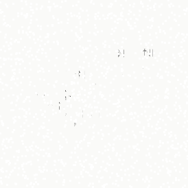 Cl.O=C1c2ccccc2C(=O)N1N1CCN(CCCN2CCNCC2)CC1